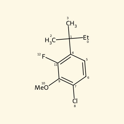 CCC(C)(C)c1ccc(Cl)c(OC)c1F